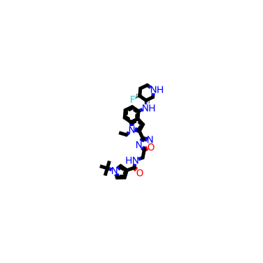 CCn1c(-c2noc(CNC(=O)c3ccn(C(C)(C)C)c3)n2)cc2c(N[C@@H]3CNCC[C@@H]3F)cccc21